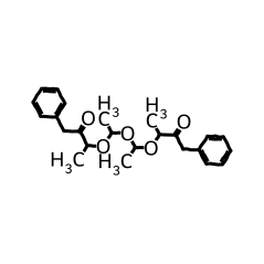 CC(OC(C)OC(C)C(=O)Cc1ccccc1)OC(C)C(=O)Cc1ccccc1